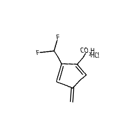 C=C1C=C(C(=O)O)C(C(F)F)=C1.Cl